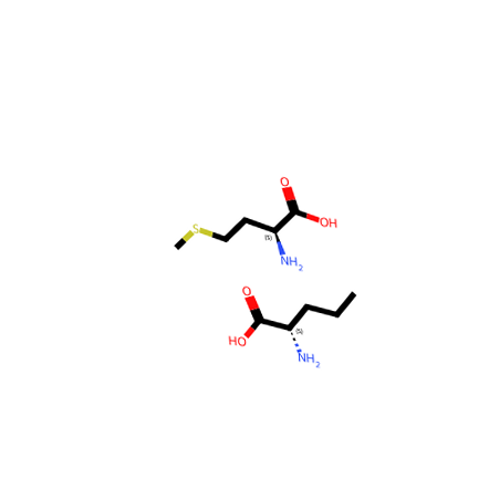 CCC[C@H](N)C(=O)O.CSCC[C@H](N)C(=O)O